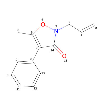 C=CCn1oc(C)c(-c2ccccc2)c1=O